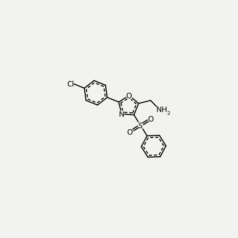 NCc1oc(-c2ccc(Cl)cc2)nc1S(=O)(=O)c1ccccc1